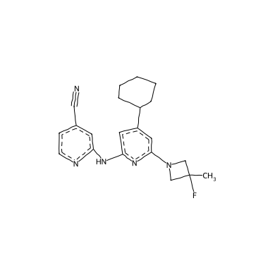 CC1(F)CN(c2cc(C3CCCCC3)cc(Nc3cc(C#N)ccn3)n2)C1